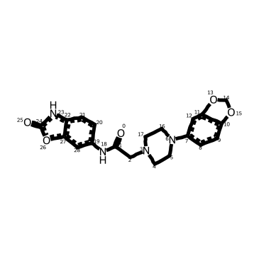 O=C(CN1CCN(c2ccc3c(c2)OCO3)CC1)Nc1ccc2[nH]c(=O)oc2c1